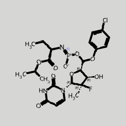 CCC(/N=[P+](\[O-])OC(Oc1ccc(Cl)cc1)[C@@H]1O[C@@H](n2ccc(=O)[nH]c2=O)[C@](C)(F)[C@@H]1O)C(=O)OC(C)C